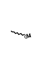 CCCCCCCCCON1CC1